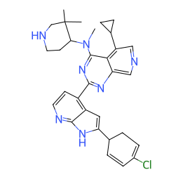 CN(c1nc(-c2ccnc3[nH]c(C4C=CC(Cl)=CC4)cc23)nc2cncc(C3CC3)c12)C1CCNCC1(C)C